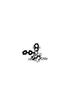 CON(C)C(=O)C(Cc1c[nH]cn1)NC[C@H]1C[C@@H]2CCCC[C@H]2CN1C(=O)c1ccc(-c2ccccc2)cc1